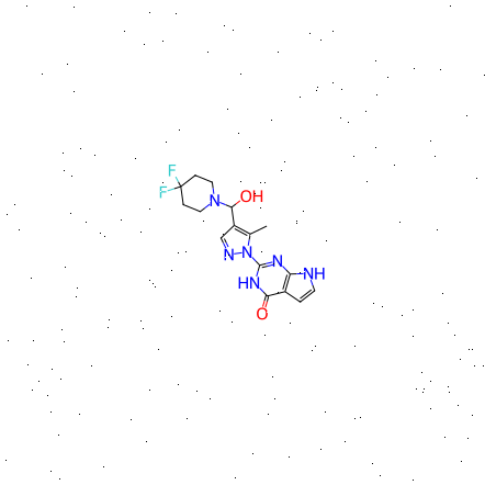 Cc1c(C(O)N2CCC(F)(F)CC2)cnn1-c1nc2[nH]ccc2c(=O)[nH]1